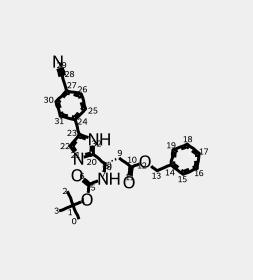 CC(C)(C)OC(=O)N[C@@H](CC(=O)OCc1ccccc1)c1ncc(-c2ccc(C#N)cc2)[nH]1